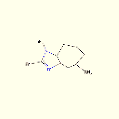 BC1CCCC2C(C1)N=C(C(C)C)N2C(C)C